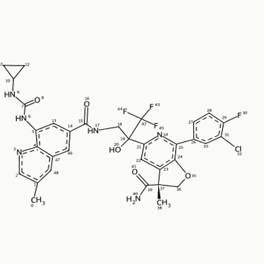 Cc1cnc2c(NC(=O)NC3CC3)cc(C(=O)NCC(O)(c3cc4c(c(-c5ccc(F)c(Cl)c5)n3)OC[C@]4(C)C(N)=O)C(F)(F)F)cc2c1